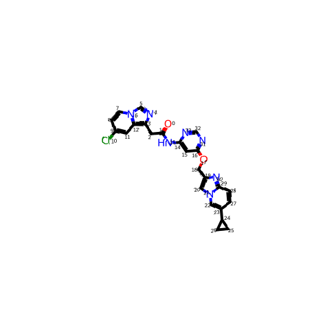 O=C(Cc1ncn2ccc(Cl)cc12)Nc1cc(OCc2cn3cc(C4CC4)ccc3n2)ncn1